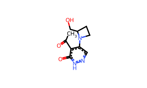 CC(=O)c1c(N2CCC2CO)cn[nH]c1=O